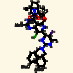 COc1ccc(CN(Cc2ccc(OC)cc2)c2nc(C)c(I)c(-c3nc4c5c(nc(SC)nc5c3F)N3C[C@H]5CC[C@@H]([C@H]3[C@H](C)O4)N5C(=O)OC(C)(C)C)n2)cc1